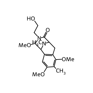 COc1cc2c(c(OC)c1C)CC1C(=O)N(CCO)C(OC)C2N1C